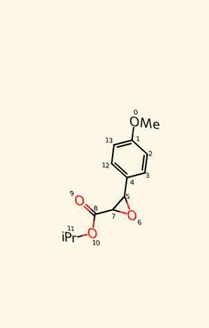 COc1ccc(C2OC2C(=O)OC(C)C)cc1